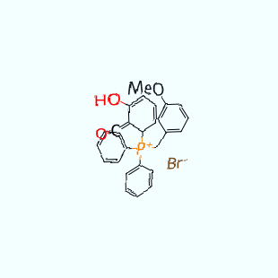 COc1cccc(C[P+](c2ccccc2)(c2ccccc2)C2C=CC=C(O)C2=C=O)c1.[Br-]